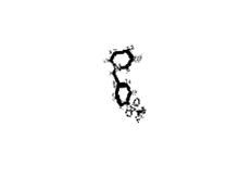 O=S(=O)(c1ccc(CN2CCCCC2)cc1)C(F)F